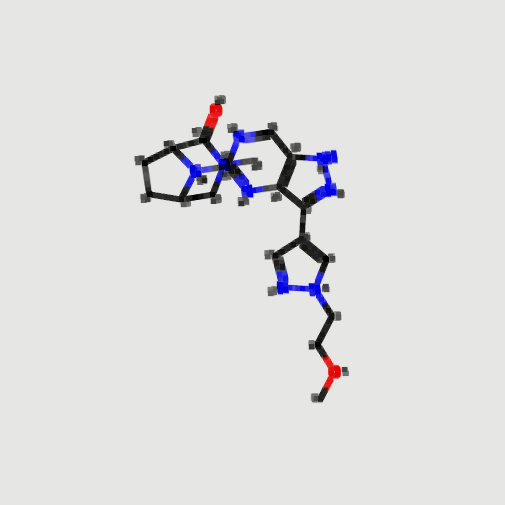 COCCn1cc(-c2n[nH]c3cnc(N4C5CCC4C(=O)N(C)C5)nc23)cn1